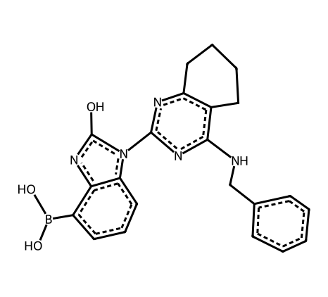 OB(O)c1cccc2c1nc(O)n2-c1nc2c(c(NCc3ccccc3)n1)CCCC2